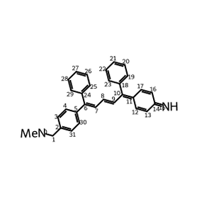 CNCc1ccc(C(=CC=CC(=C2C=CC(=N)C=C2)c2ccccc2)c2ccccc2)cc1